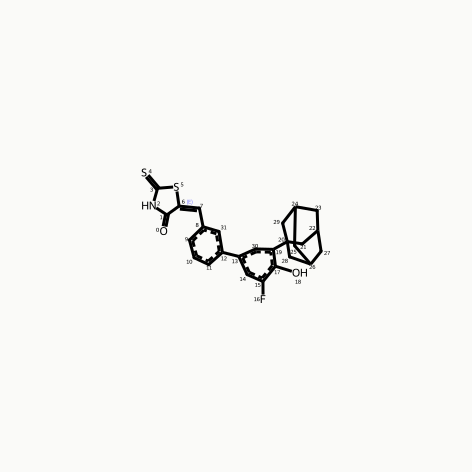 O=C1NC(=S)S/C1=C/c1cccc(-c2cc(F)c(O)c(C34CC5CC(CC(C5)C3)C4)c2)c1